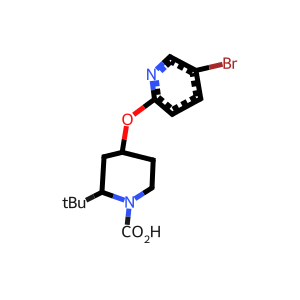 CC(C)(C)C1CC(Oc2ccc(Br)cn2)CCN1C(=O)O